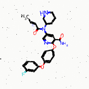 C/C=C/C(=O)N(c1cnc(Oc2ccc(Oc3cccc(F)c3)cc2)c(C(N)=O)c1)C1CCCNC1